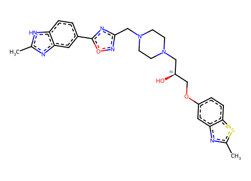 Cc1nc2cc(-c3nc(CN4CCN(C[C@H](O)COc5ccc6sc(C)nc6c5)CC4)no3)ccc2[nH]1